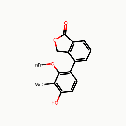 CCCOc1c(-c2cccc3c2COC3=O)ccc(O)c1OC